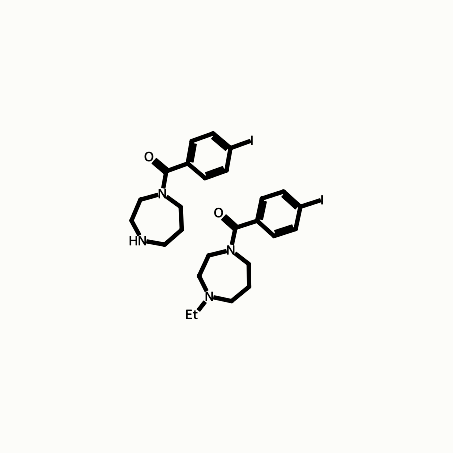 CCN1CCCN(C(=O)c2ccc(I)cc2)CC1.O=C(c1ccc(I)cc1)N1CCCNCC1